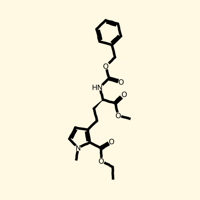 CCOC(=O)c1c(CC[C@@H](NC(=O)OCc2ccccc2)C(=O)OC)ccn1C